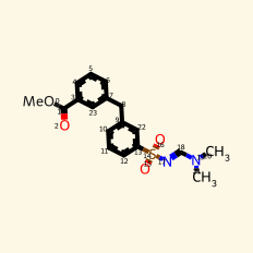 COC(=O)c1cccc(Cc2cccc(S(=O)(=O)N=CN(C)C)c2)c1